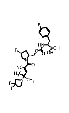 CC(C)(/C=C(\C#N)C(=O)N1C[C@@H](F)C[C@@H]1COC(=O)N[C@@H](Cc1ccc(F)cc1)B(O)O)N1CCC(F)(F)C1